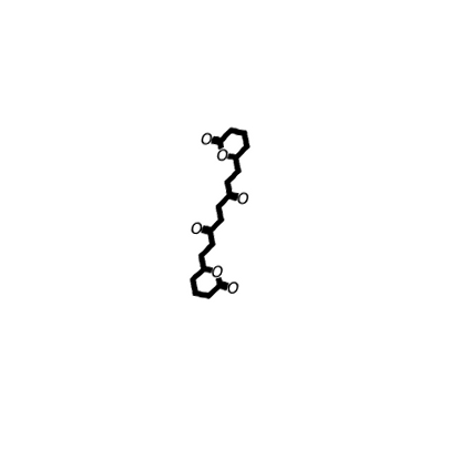 O=C(CCC(=O)CCC1CCCC(=O)O1)CCC1CCCC(=O)O1